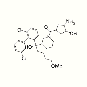 COCCCCC(O)(c1cccc(Cl)c1-c1cccc(Cl)c1)C1CCCN(C(=O)C2CC(N)C(O)C2)C1